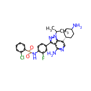 CC(C)n1nc(-c2ccc(NS(=O)(=O)c3ccccc3Cl)c(F)c2)c2c(N)ncc([C@H]3CC[C@H](N)CC3)c21